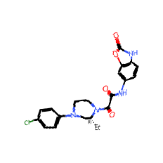 CC[C@@H]1CN(c2ccc(Cl)cc2)CCN1C(=O)C(=O)Nc1ccc2[nH]c(=O)oc2c1